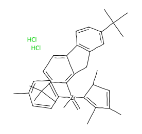 Cl.Cl.[CH2]=[Zr]([CH3])([C]1=C(C)C(C)=CC1C)([c]1ccc(C)cc1)[c]1c(C(C)(C)C)ccc2c1Cc1cc(C(C)(C)C)ccc1-2